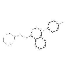 Clc1ccc(-c2nnc(NCC3COCCO3)c3ccccc23)cc1